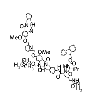 COc1cc2c(cc1OCc1cccc(COc3cc4c(cc3OC)C(=O)N3Cc5cc(NC(=O)[C@H](CCCNC(N)=O)NC(=O)[C@@H](NC(=O)OCC6c7ccccc7-c7ccccc76)C(C)C)ccc5C[C@H]3C(=O)N4COCC[Si](C)(C)C)n1)N=C[C@@H]1Cc3ccccc3CN1C2=O